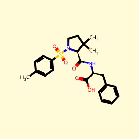 Cc1ccc(S(=O)(=O)N2CCC(C)(C)[C@H]2C(=O)N[C@@H](Cc2ccccc2)C(=O)O)cc1